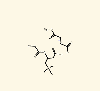 CCC(=O)OC(CC(=O)[O-])C[N+](C)(C)C.O=C([O-])/C=C/C(=O)[O-].[Mg+2]